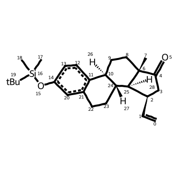 C=C[C@@H]1CC(=O)[C@@]2(C)CC[C@@H]3c4ccc(O[Si](C)(C)C(C)(C)C)cc4CC[C@H]3[C@H]12